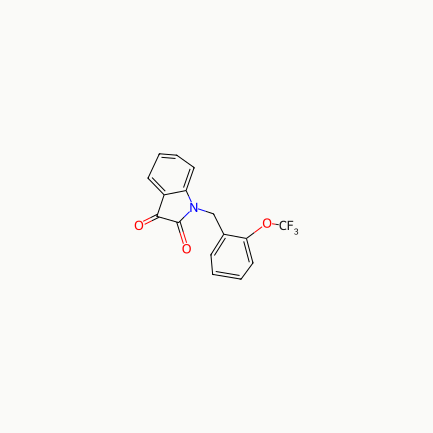 O=C1C(=O)N(Cc2ccccc2OC(F)(F)F)c2ccccc21